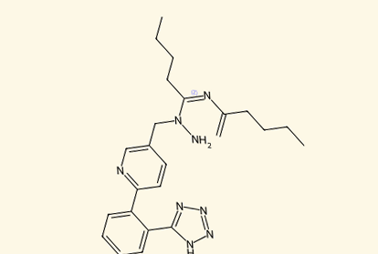 C=C(CCCC)/N=C(/CCCC)N(N)Cc1ccc(-c2ccccc2-c2nnn[nH]2)nc1